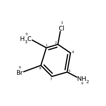 Cc1c(Cl)cc(N)cc1Br